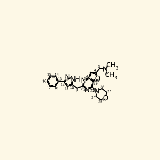 CN(C)Cc1cc2nc(Cc3cc(-c4ccccc4)n[nH]3)nc(N3CCOCC3)c2o1